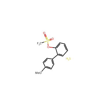 COc1ccc(-c2ccccc2OS(=O)(=O)C(F)(F)F)cc1.S